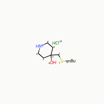 CCCCSCC1(O)CCNCC1.Cl